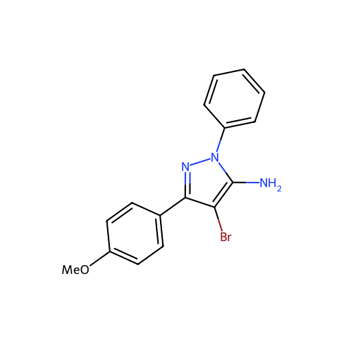 COc1ccc(-c2nn(-c3ccccc3)c(N)c2Br)cc1